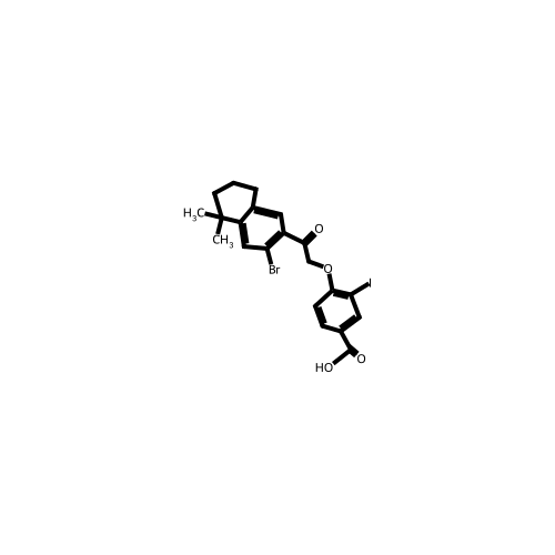 CC1(C)CCCc2cc(C(=O)COc3ccc(C(=O)O)cc3I)c(Br)cc21